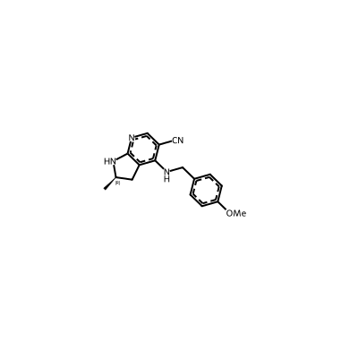 COc1ccc(CNc2c(C#N)cnc3c2C[C@@H](C)N3)cc1